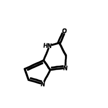 O=C1CN=C2N=CC=C2N1